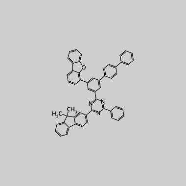 CC1(C)c2ccccc2-c2ccc(-c3nc(-c4ccccc4)nc(-c4cc(-c5ccc(-c6ccccc6)cc5)cc(-c5cccc6c5oc5ccccc56)c4)n3)cc21